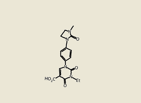 CCn1c(=O)c(C(=O)O)cn(-c2ccc(N3CCN(C)C3=O)cc2)c1=O